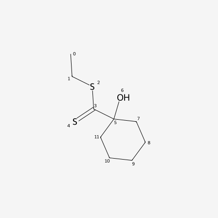 CCSC(=S)C1(O)CCCCC1